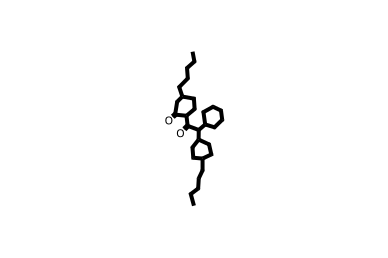 CCCCCC1CCC(C(C(=O)C2CCC(CCCCC)CC2=O)C2CCCCC2)CC1